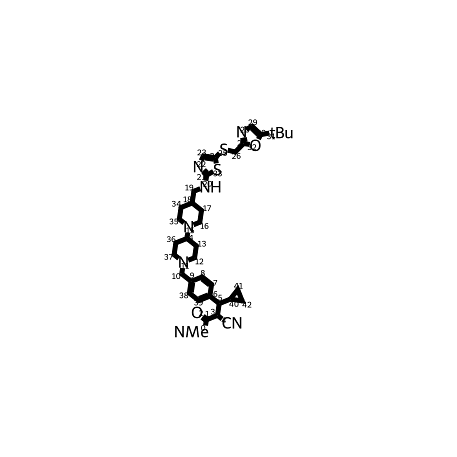 CNC(=O)C(C#N)C(c1ccc(CN2CCC(N3CCC(CNc4ncc(SCc5ncc(C(C)(C)C)o5)s4)CC3)CC2)cc1)C1CC1